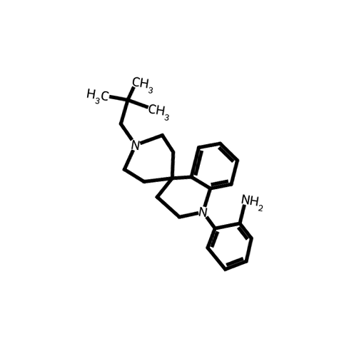 CC(C)(C)CN1CCC2(CC1)CCN(c1ccccc1N)c1ccccc12